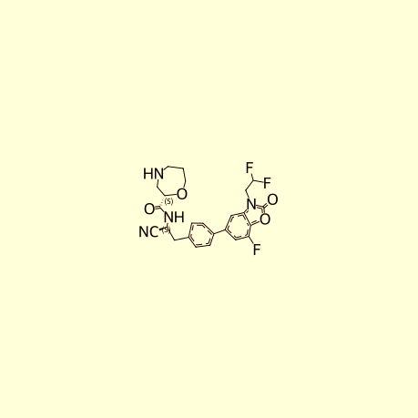 N#C[C@H](Cc1ccc(-c2cc(F)c3oc(=O)n(CC(F)F)c3c2)cc1)NC(=O)[C@@H]1CNCCCO1